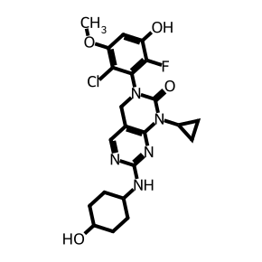 COc1cc(O)c(F)c(N2Cc3cnc(NC4CCC(O)CC4)nc3N(C3CC3)C2=O)c1Cl